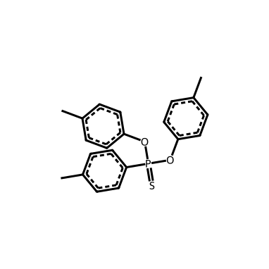 Cc1ccc(OP(=S)(Oc2ccc(C)cc2)c2ccc(C)cc2)cc1